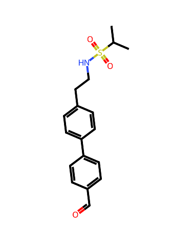 CC(C)S(=O)(=O)NCCc1ccc(-c2ccc(C=O)cc2)cc1